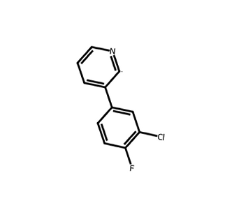 Fc1ccc(-c2[c]nccc2)cc1Cl